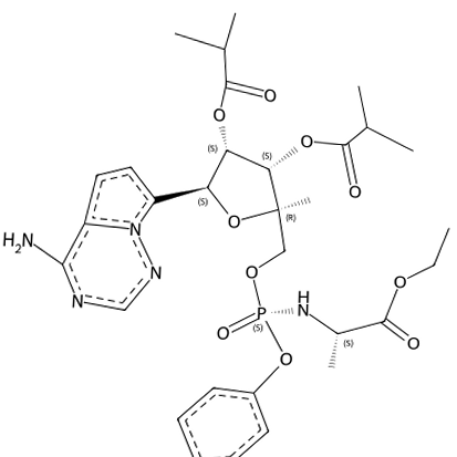 CCOC(=O)[C@H](C)N[P@](=O)(OC[C@@]1(C)O[C@@H](c2ccc3c(N)ncnn23)[C@H](OC(=O)C(C)C)[C@@H]1OC(=O)C(C)C)Oc1ccccc1